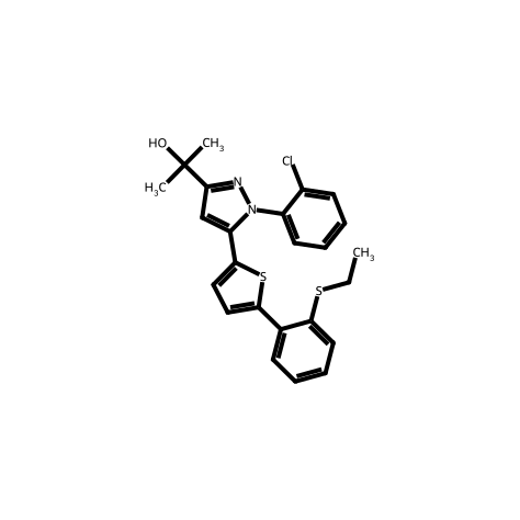 CCSc1ccccc1-c1ccc(-c2cc(C(C)(C)O)nn2-c2ccccc2Cl)s1